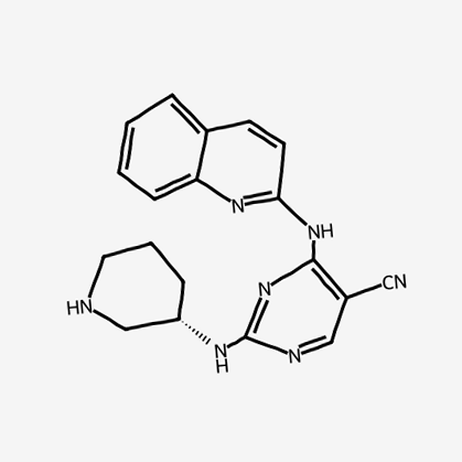 N#Cc1cnc(N[C@H]2CCCNC2)nc1Nc1ccc2ccccc2n1